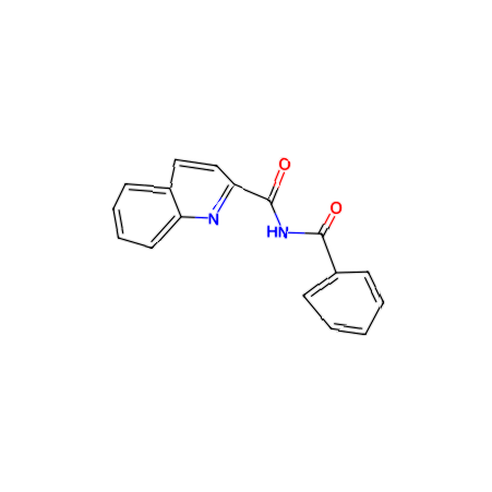 O=C(NC(=O)c1ccc2ccccc2n1)c1ccccc1